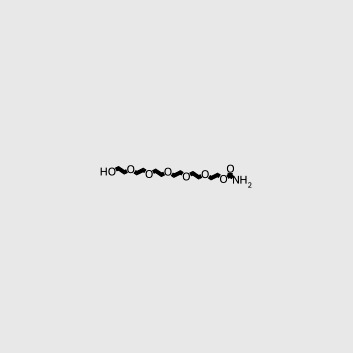 NC(=O)OCCOCCOCCOCCOCCOCCO